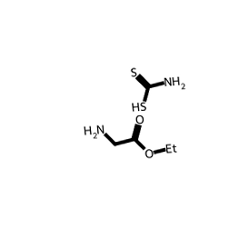 CCOC(=O)CN.NC(=S)S